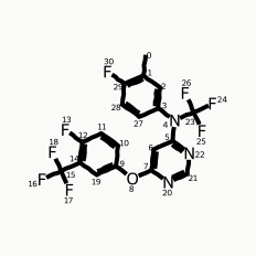 Cc1cc(N(c2cc(Oc3ccc(F)c(C(F)(F)F)c3)ncn2)C(F)(F)F)ccc1F